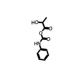 CC(O)C(=O)OC(=O)Nc1ccccc1